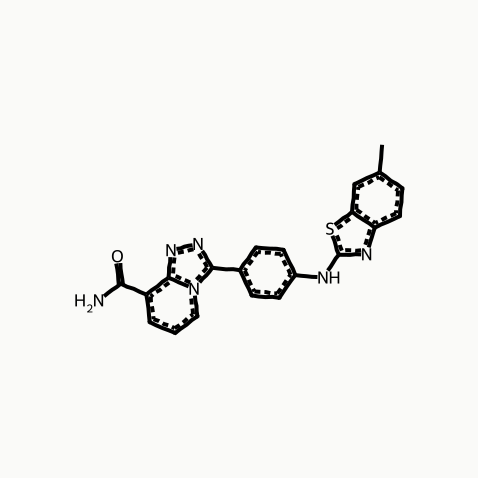 Cc1ccc2nc(Nc3ccc(-c4nnc5c(C(N)=O)cccn45)cc3)sc2c1